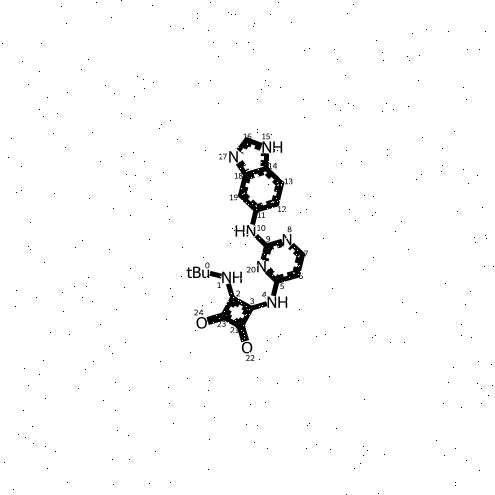 CC(C)(C)Nc1c(Nc2ccnc(Nc3ccc4[nH]cnc4c3)n2)c(=O)c1=O